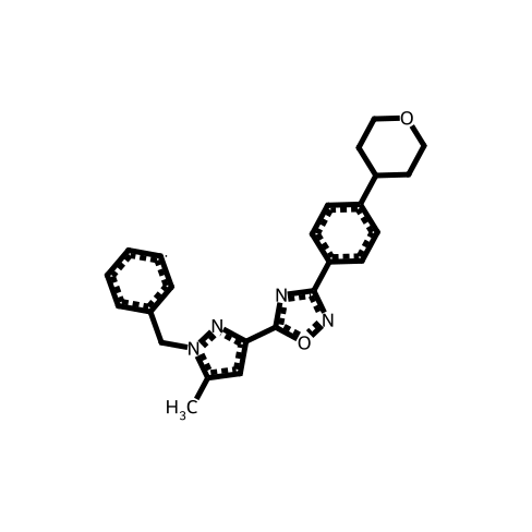 Cc1cc(-c2nc(-c3ccc(C4CCOCC4)cc3)no2)nn1Cc1c[c]ccc1